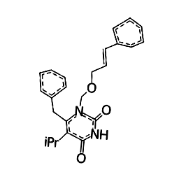 CC(C)c1c(Cc2ccccc2)n(COC/C=C/c2ccccc2)c(=O)[nH]c1=O